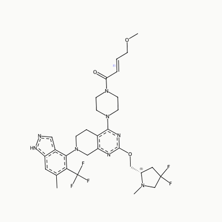 COC/C=C/C(=O)N1CCN(c2nc(OC[C@@H]3CC(F)(F)CN3C)nc3c2CCN(c2c(C(F)(F)F)c(C)cc4[nH]ncc24)C3)CC1